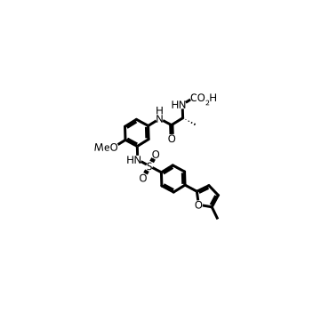 COc1ccc(NC(=O)[C@@H](C)NC(=O)O)cc1NS(=O)(=O)c1ccc(-c2ccc(C)o2)cc1